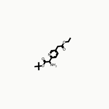 CCOC(=O)Cc1ccc(C(N)C(=O)OC(C)(C)C)nc1